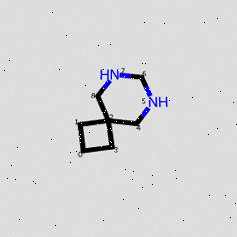 C1CC2(C1)CNCNC2